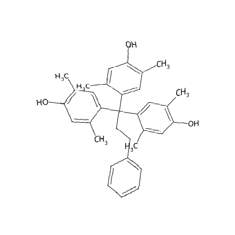 Cc1cc(C(CCc2ccccc2)(c2cc(C)c(O)cc2C)c2cc(C)c(O)cc2C)c(C)cc1O